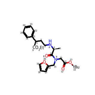 CCOC(=O)C(CCN[C@@H](C)C(=O)N(CC(=O)OC(C)(C)C)Cc1ccco1)c1ccccc1